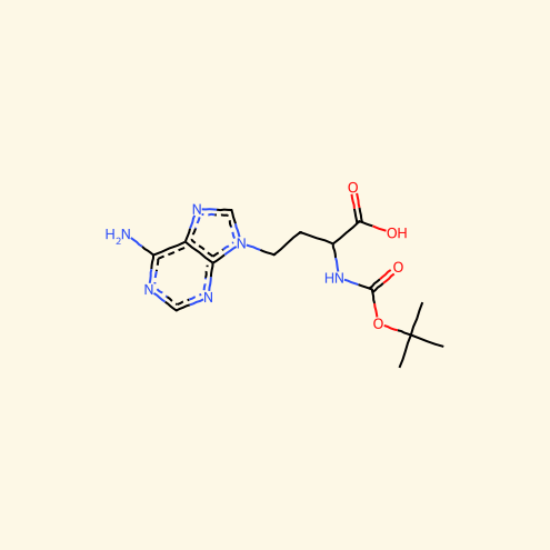 CC(C)(C)OC(=O)NC(CCn1cnc2c(N)ncnc21)C(=O)O